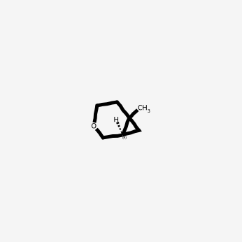 CC12CCOC[C@@H]1C2